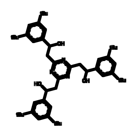 CC(C)(C)c1cc(C(O)Cc2nc(CC(O)c3cc(C(C)(C)C)cc(C(C)(C)C)c3)nc(CC(O)c3cc(C(C)(C)C)cc(C(C)(C)C)c3)n2)cc(C(C)(C)C)c1